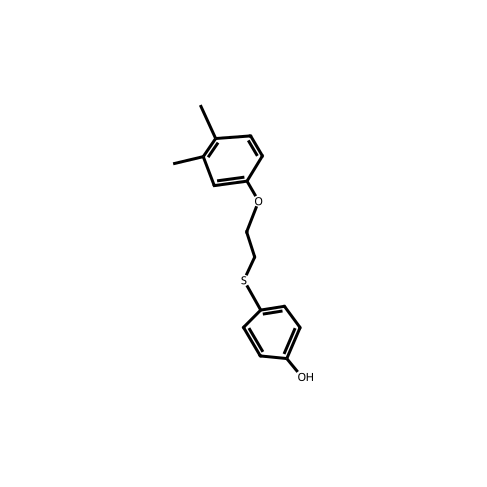 Cc1ccc(OCCSc2ccc(O)cc2)cc1C